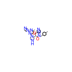 Cc1ccc(CNC(=O)C(C(=O)c2cccnc2)C2CNCCN2c2cc(C)nc(-n3ccnc3)n2)cc1